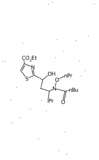 CCCCC(=O)N(OCCC)C(CC(O)c1nc(C(=O)OCC)cs1)C(C)C